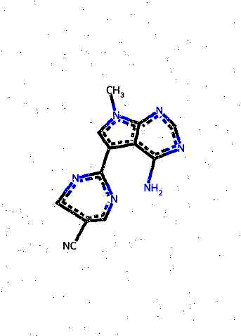 Cn1cc(-c2ncc(C#N)cn2)c2c(N)ncnc21